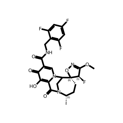 COC1=NO[C@@]2(CC[C@H](C)N3CC2n2cc(C(=O)NCc4c(F)cc(F)cc4F)c(=O)c(O)c2C3=O)[C@@H]1F